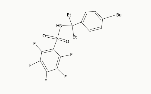 CCC(C)c1ccc(C(CC)(CC)NS(=O)(=O)c2c(F)c(F)c(F)c(F)c2F)cc1